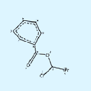 CC(C)C(Cl)OC(=O)c1ccccc1